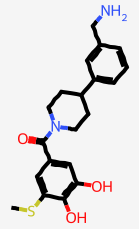 CSc1cc(C(=O)N2CCC(c3cccc(CN)c3)CC2)cc(O)c1O